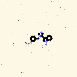 COc1cccc(Cn2cncc2-c2c[nH]c3ccccc23)c1